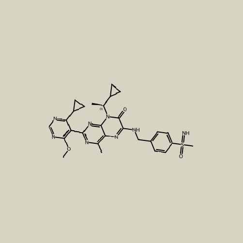 COc1ncnc(C2CC2)c1-c1nc(C)c2nc(NCc3ccc(S(C)(=N)=O)cc3)c(=O)n([C@@H](C)C3CC3)c2n1